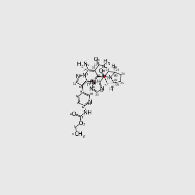 CCOC(=O)Nc1ccc(-c2cnn3c(N)c(C(C)=O)c([C@H]4C[C@H]5CC[C@@H](C4)N5C(=O)c4ncn[nH]4)nc23)cn1